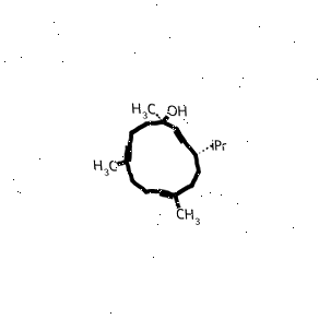 C/C1=C/CC[C@@](C)(O)/C=C/[C@H](C(C)C)CC/C(C)=C/CC1